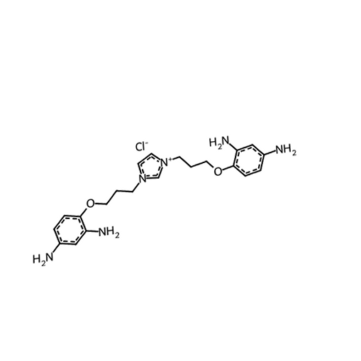 Nc1ccc(OCCCn2cc[n+](CCCOc3ccc(N)cc3N)c2)c(N)c1.[Cl-]